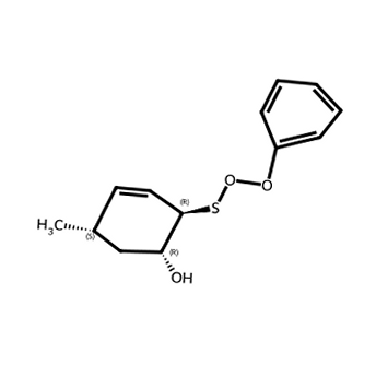 C[C@@H]1C=C[C@@H](SOOc2ccccc2)[C@H](O)C1